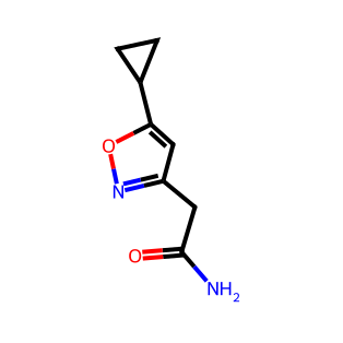 NC(=O)Cc1cc(C2CC2)on1